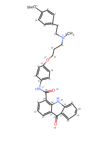 COc1ccc(CCN(C)CCCOc2ccc(NC(=O)c3cccc4c(=O)c5ccccc5[nH]c34)cc2)cc1